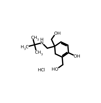 CC(C)(C)NCC1(CO)C=CC(O)=C(CO)C1.Cl